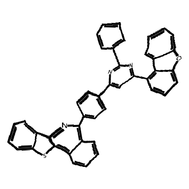 c1ccc(-c2nc(-c3ccc(-c4nc5c6ccccc6sc5c5ccccc45)cc3)cc(-c3cccc4oc5ccccc5c34)n2)cc1